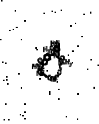 Cc1cc(CC2NC(=O)c3ccc4c(c3)CC3(C4)C(=O)Nc4ncc(cc43)CCCOCCOCCN(C)C2=O)cc2cn[nH]c12